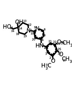 COc1cc(Nc2ccnc(N3CCC(O)(CO)CC3)c2)cc(OC)c1OC